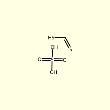 O=S(=O)(O)O.S=CS